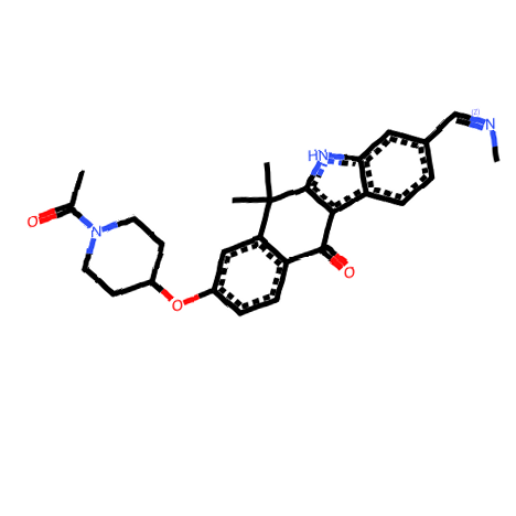 C/N=C\c1ccc2c3c([nH]c2c1)C(C)(C)c1cc(OC2CCN(C(C)=O)CC2)ccc1C3=O